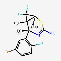 CC12C(F)(F)[C@]1(C(=O)O)SC(N)=N[C@]2(C)c1cc(Br)ccc1F